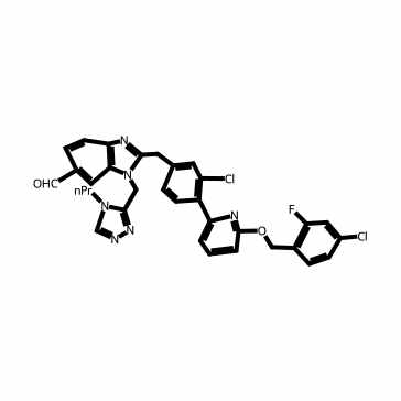 CCCn1cnnc1Cn1c(Cc2ccc(-c3cccc(OCc4ccc(Cl)cc4F)n3)c(Cl)c2)nc2ccc(C=O)cc21